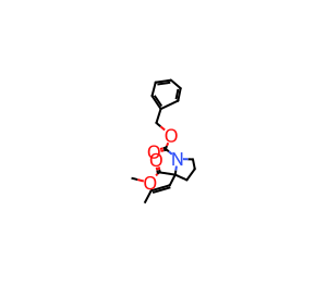 CC=CC1(C(=O)OC)CCCN1C(=O)OCc1ccccc1